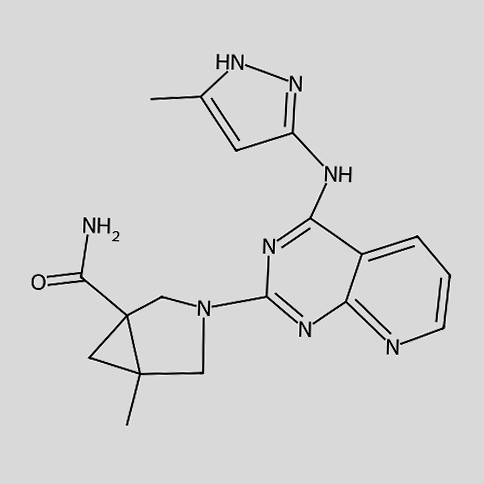 Cc1cc(Nc2nc(N3CC4(C)CC4(C(N)=O)C3)nc3ncccc23)n[nH]1